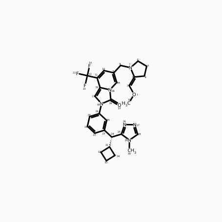 CO/C=C1\CCCN1Cc1cc(C(F)(F)F)c2cn(-c3cccc([C@H](c4nncn4C)C4CCC4)c3)c(=O)n2c1